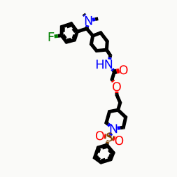 CN(C)C(c1ccc(F)cc1)C1CCC(CNC(=O)COCCC2CCN(S(=O)(=O)c3ccccc3)CC2)CC1